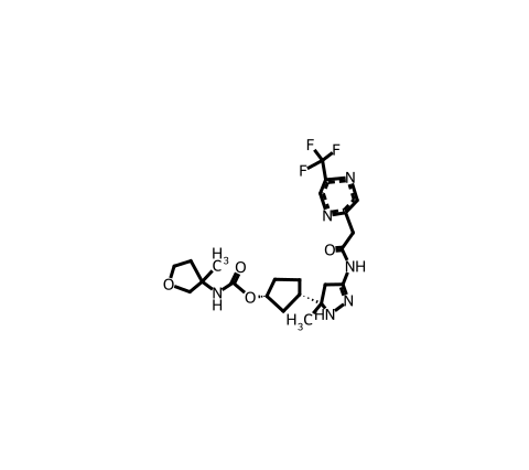 CC1(NC(=O)O[C@@H]2CC[C@H](C3(C)CC(NC(=O)Cc4cnc(C(F)(F)F)cn4)=NN3)C2)CCOC1